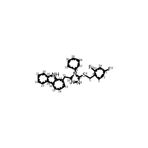 Fc1ccc(CSc2nnc(Cc3cccc4c3[nH]c3ccccc34)n2-c2ccccc2)c(F)c1